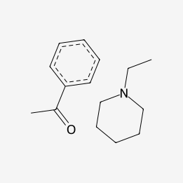 CC(=O)c1ccccc1.CCN1CCCCC1